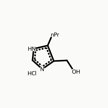 CCCc1[nH]cnc1CO.Cl